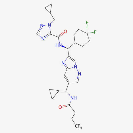 O=C(CCC(F)(F)F)N[C@@H](c1cnn2cc([C@@H](NC(=O)c3ncnn3CC3CC3)C3CCC(F)(F)CC3)nc2c1)C1CC1